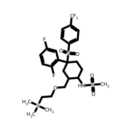 C[Si](C)(C)CCOCC1CC(c2cc(F)ccc2F)(S(=O)(=O)c2ccc(C(F)(F)F)cc2)CCC1NS(C)(=O)=O